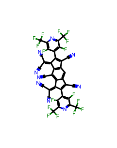 N#CC(C#N)=C1C(c2c(F)c(C(F)(F)F)nc(C(F)(F)F)c2F)=C(C#N)c2cc3c(c(C#N)c21)C(=C(C#N)C#N)C(c1c(F)c(C(F)(F)F)nc(C(F)(F)F)c1F)=C3C#N